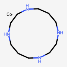 C1CNCCNCCCNCCNC1.[Co]